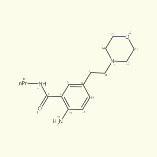 CCCNC(=O)c1cc(CCN2CCOCC2)ccc1N